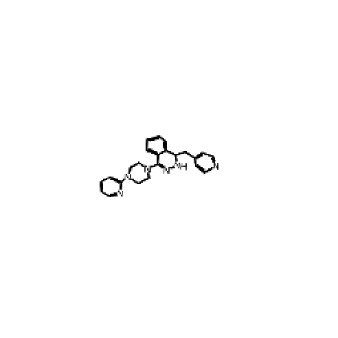 c1ccc(N2CCN(C3=NNC(Cc4ccncc4)c4ccccc43)CC2)nc1